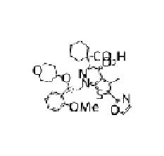 COc1ccccc1[C@@H](Cn1nc(C2(C(=O)O)CCCCC2)c(=O)c2c(C)c(-c3ncco3)sc21)OC1CCOCC1